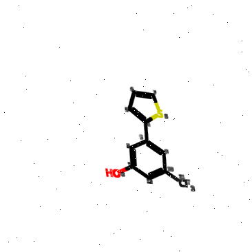 Oc1cc(-c2cccs2)cc(C(F)(F)F)c1